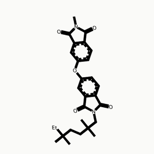 CCC(C)(C)CCC(C)(C)CN1C(=O)c2ccc(Oc3ccc4c(c3)C(=O)N(C)C4=O)cc2C1=O